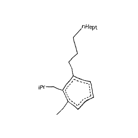 [CH2]CCCCCCCCCc1cccc(C)c1C(C)C